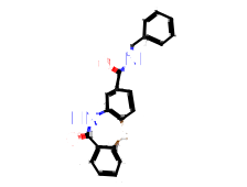 O=C(NCc1ccccc1)c1ccc2c(c1)NC(=O)c1ccccc1S2